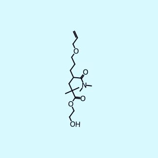 C=CCOCCCC(CC(C)(C)C(=O)OCCO)C(=O)N(C)C